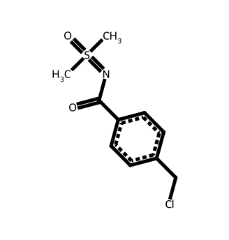 CS(C)(=O)=NC(=O)c1ccc(CCl)cc1